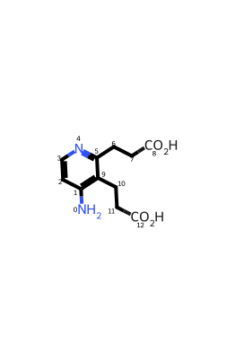 Nc1ccnc(CCC(=O)O)c1CCC(=O)O